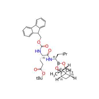 CC(C)C[C@H](NC(=O)[C@H](CCC(=O)OC(C)(C)C)NC(=O)OCC1c2ccccc2-c2ccccc21)B1O[C@@H]2C[C@@H]3C[C@@H](C3(C)C)[C@]2(C)O1